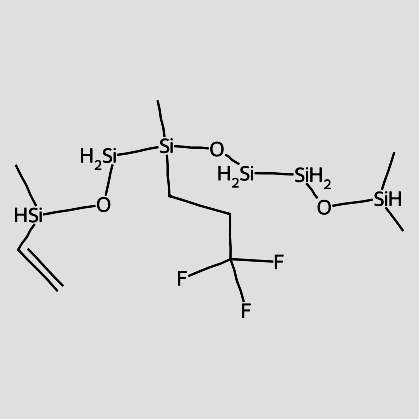 C=C[SiH](C)O[SiH2][Si](C)(CCC(F)(F)F)O[SiH2][SiH2]O[SiH](C)C